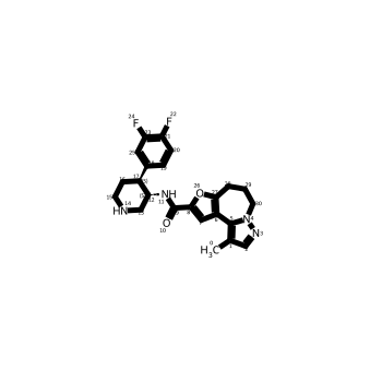 Cc1cnn2c1-c1cc(C(=O)N[C@@H]3CNCC[C@H]3c3ccc(F)c(F)c3)oc1CCC2